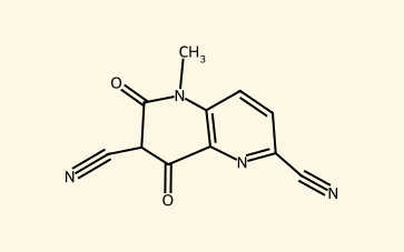 CN1C(=O)C(C#N)C(=O)c2nc(C#N)ccc21